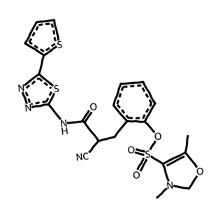 CC1=C(S(=O)(=O)Oc2ccccc2CC(C#N)C(=O)Nc2nnc(-c3cccs3)s2)N(C)CO1